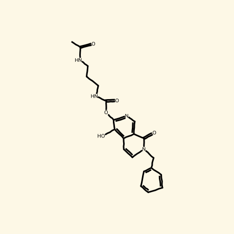 CC(=O)NCCCNC(=O)Oc1ncc2c(=O)n(Cc3ccccc3)ccc2c1O